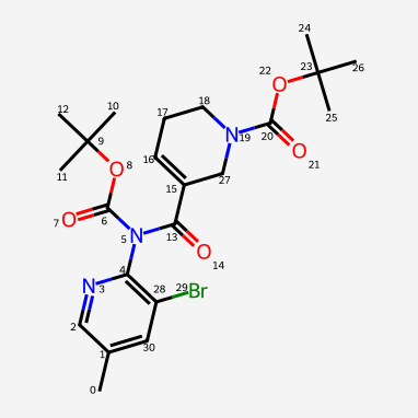 Cc1cnc(N(C(=O)OC(C)(C)C)C(=O)C2=CCCN(C(=O)OC(C)(C)C)C2)c(Br)c1